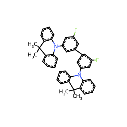 CC1(C)c2ccccc2N(c2cc(F)cc(-c3cc(F)cc(N4c5ccccc5C(C)(C)c5ccccc54)c3)c2)c2ccccc21